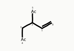 C=CC(CC(C)=O)C(C)=O